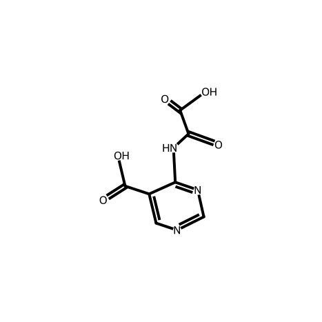 O=C(O)C(=O)Nc1ncncc1C(=O)O